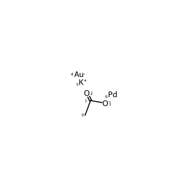 CC(=O)[O-].[Au].[K+].[Pd]